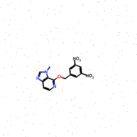 Cn1cnc2ccnc(OCc3cc([N+](=O)[O-])cc([N+](=O)[O-])c3)c21